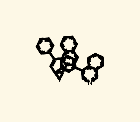 C1=C(c2ccccc2)c2c(ccc3ccccc23)C2CC12c1cccc(-c2cncc3ccccc23)c1